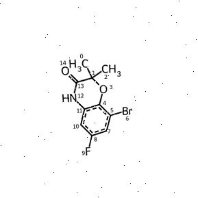 CC1(C)Oc2c(Br)cc(F)cc2NC1=O